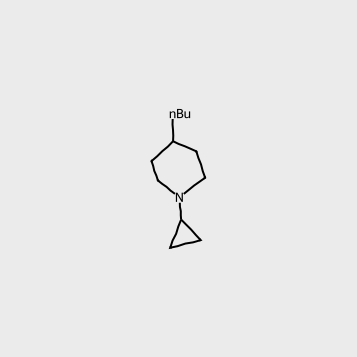 CCCCC1CCN(C2CC2)CC1